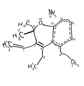 C=CC1=C(CC)c2c(CC)cccc2OC1(C)C.N